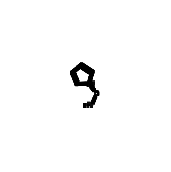 [CH2]CCO[SH]1C=CC=C1